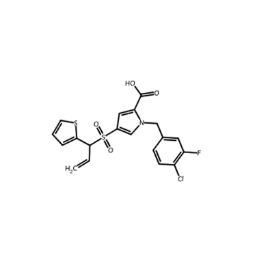 C=CC(c1cccs1)S(=O)(=O)c1cc(C(=O)O)n(Cc2ccc(Cl)c(F)c2)c1